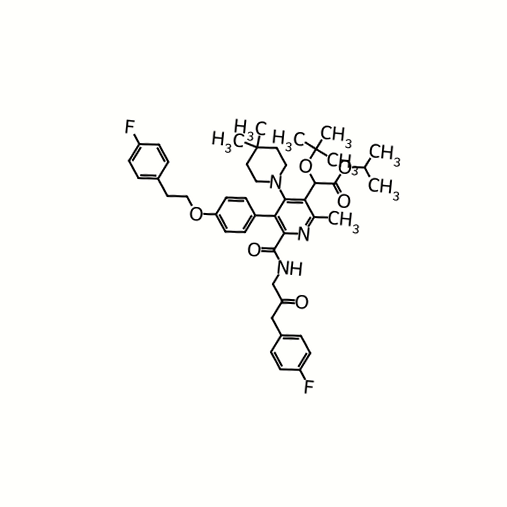 Cc1nc(C(=O)NCC(=O)Cc2ccc(F)cc2)c(-c2ccc(OCCc3ccc(F)cc3)cc2)c(N2CCC(C)(C)CC2)c1C(OC(C)(C)C)C(=O)OC(C)C